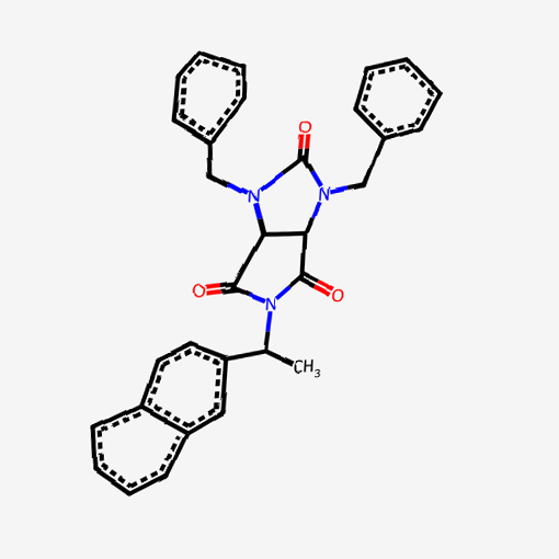 CC(c1ccc2ccccc2c1)N1C(=O)C2C(C1=O)N(Cc1ccccc1)C(=O)N2Cc1ccccc1